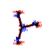 N=N/C(=C\N[C@H]1C[C@@H](O)[C@@H](O)[C@@H](CO)O1)COCCOCCOCCNC(=O)CCC(N)(CCC(=O)NCCOCCOCCOC/C(=C/N[C@H]1C[C@@H](O)[C@@H](O)[C@@H](CO)O1)N=N)CCC(=O)NCCOCCOCCOC/C(=C/N[C@H]1C[C@@H](O)[C@@H](O)[C@@H](CO)O1)N=N